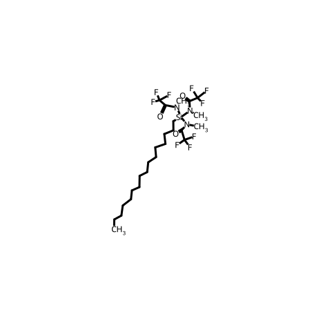 CCCCCCCCCCCCCCCC[Si](N(C)C(=O)C(F)(F)F)(N(C)C(=O)C(F)(F)F)N(C)C(=O)C(F)(F)F